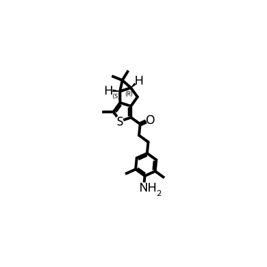 Cc1cc(CCC(=O)c2sc(C)c3c2C[C@@H]2[C@H]3C2(C)C)cc(C)c1N